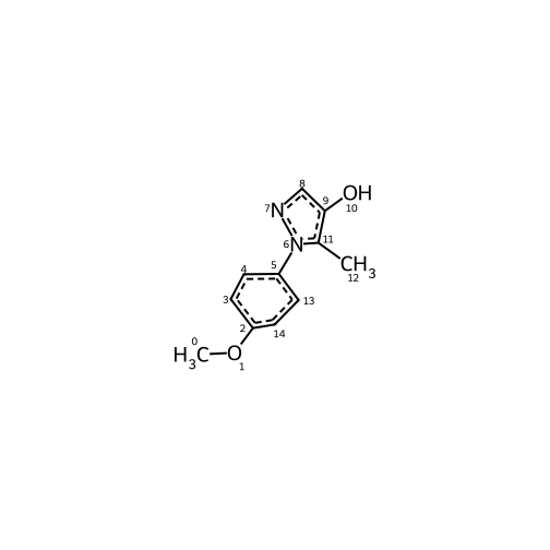 COc1ccc(-n2ncc(O)c2C)cc1